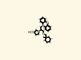 CC1(COCC(CN2c3ccccc3Oc3ccccc32)N2CCCC2)CCCCC1.Cl